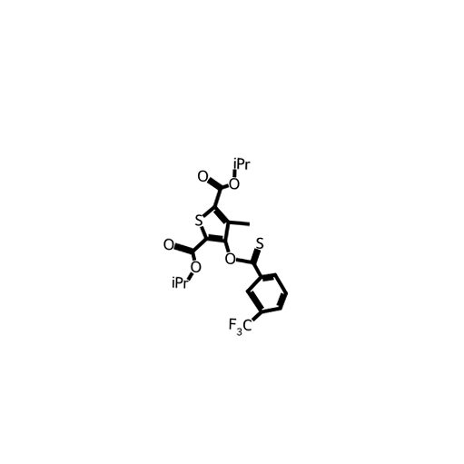 Cc1c(C(=O)OC(C)C)sc(C(=O)OC(C)C)c1OC(=S)c1cccc(C(F)(F)F)c1